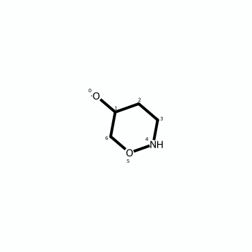 [O]C1CCNOC1